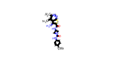 COc1ccc(NC(=O)N2CC(NC(=O)c3sc4nnc(C)c(C)c4c3N)C2)cc1